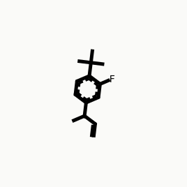 C=C[C](C)c1ccc(C(C)(C)C)c(F)c1